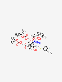 Cc1cc(SC[C@@H]2[C@@H](O)[C@H]3[C@H](C(=O)OCOC(=O)OC(C)C)[C@H]3[C@]2(NC(=O)OC(C)(C)C)C(=O)OCOC(=O)OC(C)C)ccc1F